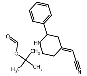 CC(C)(C)OC=O.N#CC=C1CCNC(c2ccccc2)C1